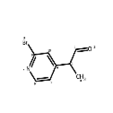 CC(C=O)c1ccnc(Br)c1